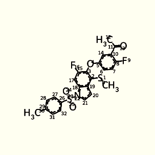 CSc1c(Oc2ccc(F)c(C(C)=O)c2)c(F)cc2c1ccn2S(=O)(=O)c1ccc(C)cc1